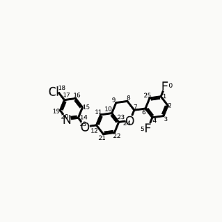 Fc1ccc(F)c(C2CCc3cc(Oc4ccc(Cl)cn4)ccc3O2)c1